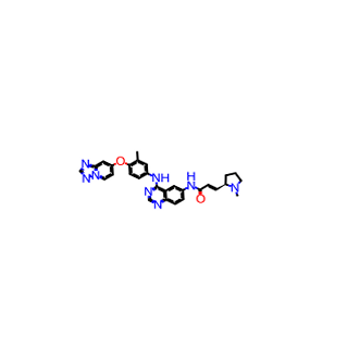 Cc1cc(Nc2ncnc3ccc(NC(=O)/C=C/[C@H]4CCCN4C)cc23)ccc1Oc1ccn2ncnc2c1